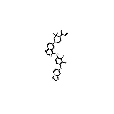 C=CC(=O)N1CCN(c2ccc3ncnc(Nc4ccc(Oc5ccn6ncnc6c5)c(Cl)c4F)c3n2)CC1(C)C